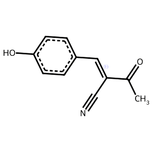 CC(=O)/C(C#N)=C/c1ccc(O)cc1